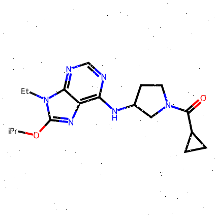 CCn1c(OC(C)C)nc2c(NC3CCN(C(=O)C4CC4)C3)ncnc21